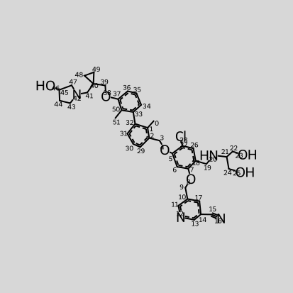 Cc1c(COc2cc(OCc3cncc(C#N)c3)c(CNC(CO)CO)cc2Cl)cccc1-c1cccc(OCC2(CN3CCC(O)C3)CC2)c1C